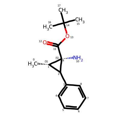 C[C@H]1C(c2ccccc2)[C@]1(N)C(=O)OC(C)(C)C